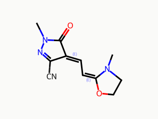 CN1N=C(C#N)/C(=C\C=C2\OCCN2C)C1=O